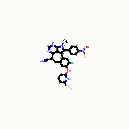 Cc1cccc(Oc2cc3c(cc2F)-c2c(-c4ccc([N+](=O)[O-])cc4)n(C)c4ncnc(c24)B(C#N)C3)n1